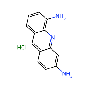 Cl.Nc1ccc2cc3cccc(N)c3nc2c1